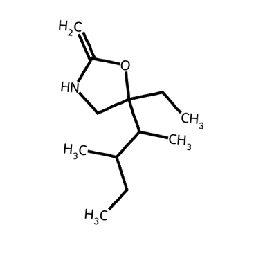 C=C1NCC(CC)(C(C)C(C)CC)O1